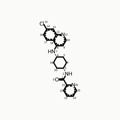 O=C(N[C@H]1CC[C@@H](Nc2ccnc3cc(Cl)ccc23)CC1)c1ccccn1